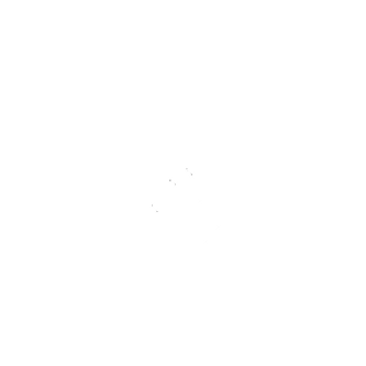 Clc1nnc(NC2CCCC2)c2ccccc12